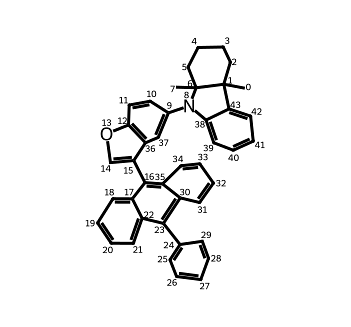 CC12CCCCC1(C)N(c1ccc3occ(-c4c5ccccc5c(-c5ccccc5)c5ccccc45)c3c1)c1ccccc12